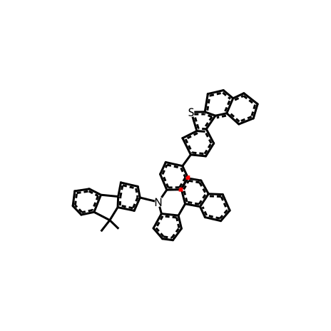 CC1(C)c2ccccc2-c2ccc(N(c3ccc(-c4ccc5c(c4)sc4ccc6ccccc6c45)cc3)c3ccccc3-c3cccc4ccccc34)cc21